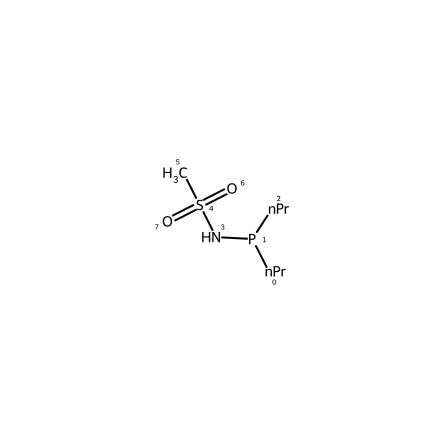 CCCP(CCC)NS(C)(=O)=O